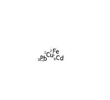 [Cd].[Cu].[Fe].[Pb]